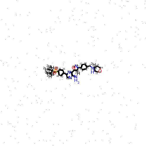 [2H]c1c(-c2ccc(CNC3([2H])CCOCC3)cc2)noc1-c1nc(-c2ccc(S(=O)(=O)C([2H])(C([2H])([2H])[2H])C([2H])([2H])[2H])cc2)cnc1N